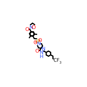 Cc1cc(C(=O)N2CCCO2)cc(C)c1CCS(=O)(=O)N1CCC2(CC1)N=C(C1CCC(CCC(F)(F)F)CC1)NC2=O